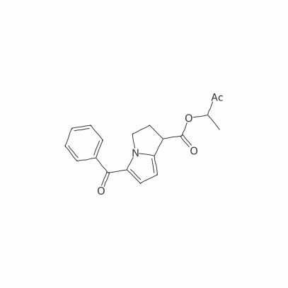 CC(=O)C(C)OC(=O)C1CCn2c(C(=O)c3ccccc3)ccc21